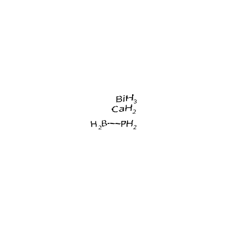 BP.[BiH3].[CaH2]